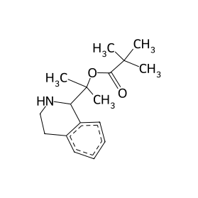 CC(C)(C)C(=O)OC(C)(C)C1NCCc2ccccc21